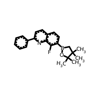 CC1(C)CB(c2ccc3ccc(-c4ccccc4)nc3c2F)OC1(C)C